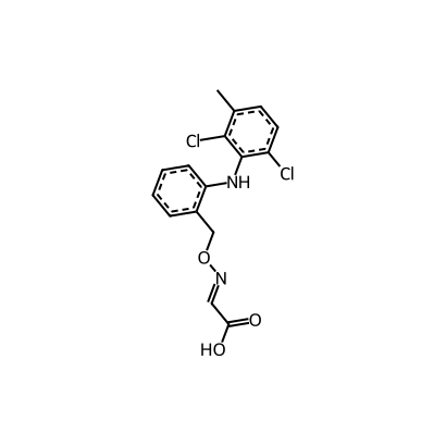 Cc1ccc(Cl)c(Nc2ccccc2CON=CC(=O)O)c1Cl